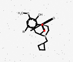 COc1cc(Br)c2c(c1O)[C@@]13CCN(CC4CCC4)C(C2)C1CCC(=O)C3